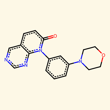 O=c1ccc2cncnc2n1-c1cccc(N2CCOCC2)c1